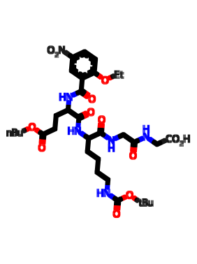 CCCCOC(=O)CCC(NC(=O)c1cc([N+](=O)[O-])ccc1OCC)C(=O)NC(CCCCNC(=O)OC(C)(C)C)C(=O)NCC(=O)NCC(=O)O